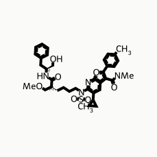 CNC(=O)c1c(-c2ccc(C)cc2)oc2nc(N(CCCC[C@H](COC)C(=O)N[C@H](CO)Cc3ccccc3)S(C)(=O)=O)c(C3CC3)cc12